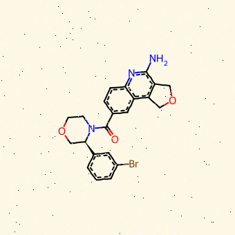 Nc1nc2ccc(C(=O)N3CCOC[C@@H]3c3cccc(Br)c3)cc2c2c1COC2